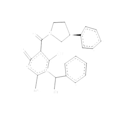 CCCCc1nc(=O)c(C(=O)N2CC[C@@H](c3ccccc3)C2)c(O)n1C(c1ccccc1)C(C)C